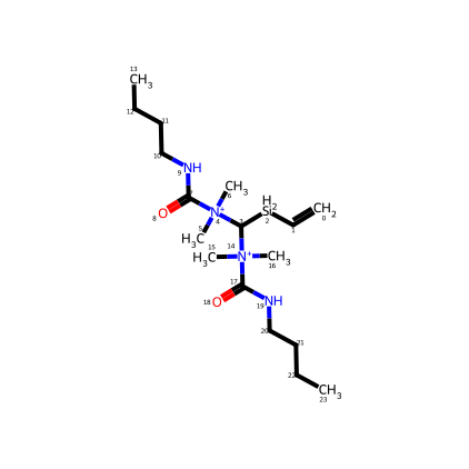 C=C[SiH2]C([N+](C)(C)C(=O)NCCCC)[N+](C)(C)C(=O)NCCCC